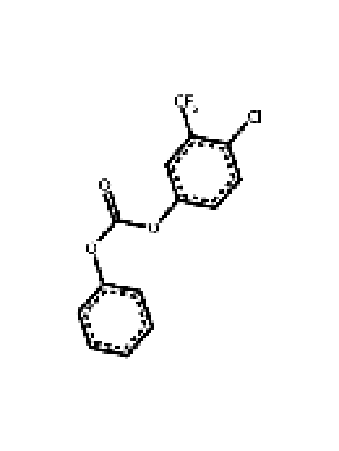 O=C(Oc1ccccc1)Oc1ccc(Cl)c(C(F)(F)F)c1